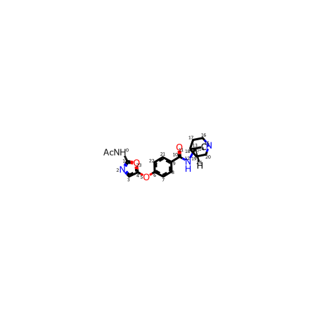 CC(=O)Nc1ncc(Oc2ccc(C(=O)N[C@H]3CN4CCC3CC4)cc2)o1